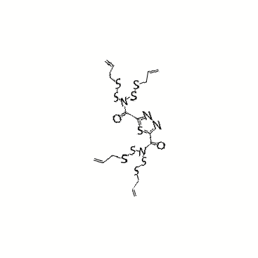 C=CCSSN(SSCC=C)C(=O)c1nnc(C(=O)N(SSCC=C)SSCC=C)s1